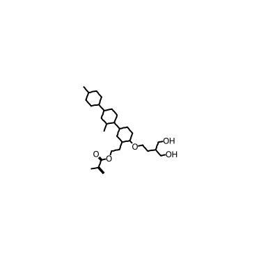 C=C(C)C(=O)OCCC1CC(C2CCC(C3CCC(C)CC3)CC2C)CCC1OCCC(CO)CO